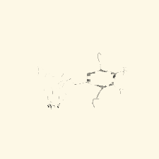 CC(C)O[Si](CCc1cc(F)c(F)c(F)c1F)(OC(C)C)OC(C)C